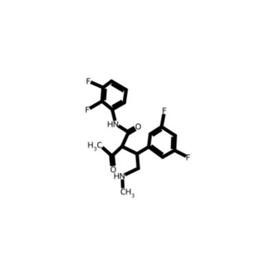 CNCC(c1cc(F)cc(F)c1)C(C(C)=O)C(=O)Nc1cccc(F)c1F